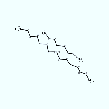 NCCCCCCN.NCCCCCCNCCCCCCN